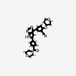 N#Cc1cc(-c2ncnc3[nH]c(-c4ccc(C(=O)N5CCOCC5)cc4)cc23)ccc1OC1CCOCC1